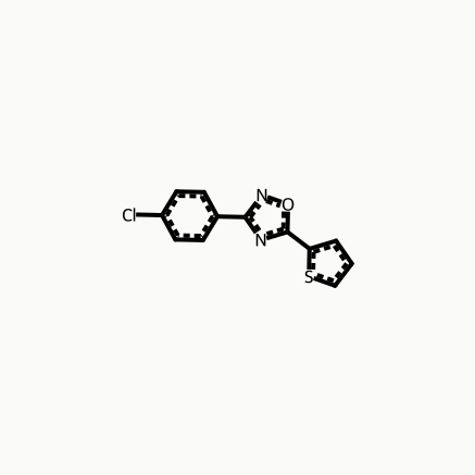 Clc1ccc(-c2noc(-c3cccs3)n2)cc1